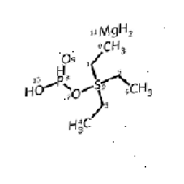 CCS(CC)(CC)O[PH](=O)O.[MgH2]